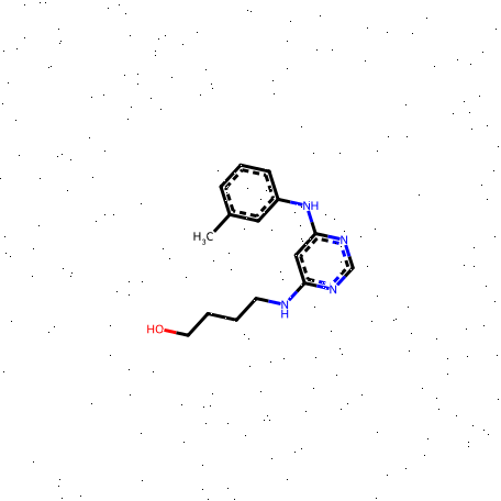 Cc1cccc(Nc2cc(NCCCCO)ncn2)c1